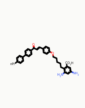 CCCc1ccc(-c2ccc(C(=O)/C=C/c3ccc(OCCCCCc4c(N)cc(N)cc4C(=O)O)cc3)cc2)cc1